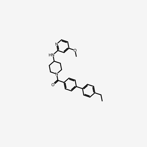 CCc1ccc(-c2ccc(C(=O)N3CCC(Nc4cc(OC)ccn4)CC3)cc2)cc1